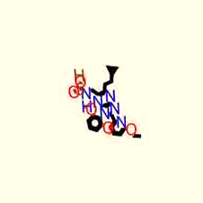 CCOc1cccc(-c2nc3nc(CCC4CC4)c(CN[SH](=O)=O)nc3n2-c2c(OC)cccc2OC)n1